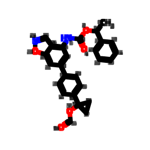 CC(OC(=O)Nc1cc(-c2ccc(C3(OC=O)CC3)cc2)cc2oncc12)c1ccccc1